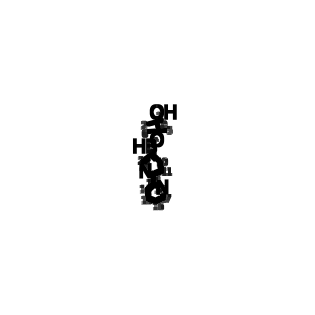 CC(C)(O)C(C)(C)OBc1ccc(-c2ccccn2)nc1